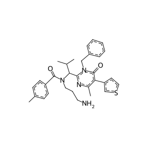 Cc1ccc(C(=O)N(CCCN)C(c2nc(C)c(-c3ccsc3)c(=O)n2Cc2ccccc2)C(C)C)cc1